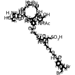 CC[C@H](C)[C@@H]1NC(=O)CNC(=O)[C@H](NC(=O)[C@@H](NC(C)=O)[C@@H](C)[C@@H](O)CO)Cc2c([nH]c3cc(OC(=O)N(C)CCSSC(C)(C)C(NC(=O)CCOCCOCCNC(=O)c4ccc5nc(CBr)c(CBr)nc5c4)C(=O)NCCS(=O)(=O)O)ccc23)[S+]([O-])C[C@@H](C(=O)N[C@@H](CC(N)=O)C(=O)N2CC[C@@H](O)C2)NC(=O)CNC1=O